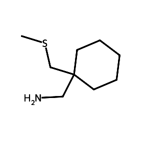 CSCC1(CN)CCCCC1